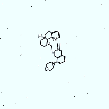 c1cnc2c(c1)CC[C@H]1CCCN(CC[C@H]3Cc4c(cccc4N4CCOCC4)CN3)C21